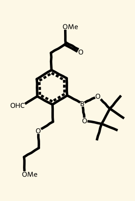 COCCOCc1c(C=O)cc(CC(=O)OC)cc1B1OC(C)(C)C(C)(C)O1